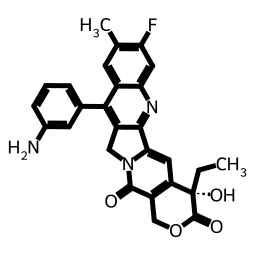 CC[C@@]1(O)C(=O)OCc2c1cc1n(c2=O)Cc2c-1nc1cc(F)c(C)cc1c2-c1cccc(N)c1